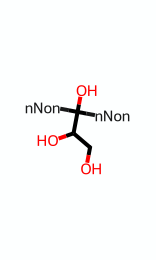 CCCCCCCCCC(O)(CCCCCCCCC)C(O)CO